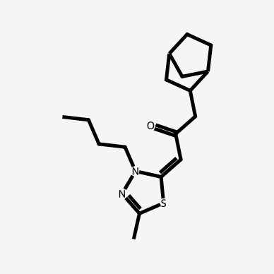 CCCCN1N=C(C)SC1=CC(=O)CC1CC2CCC1C2